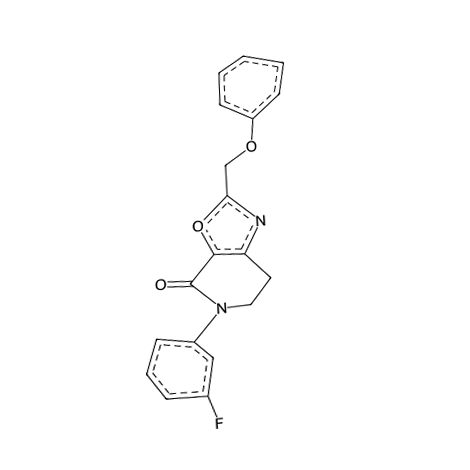 O=C1c2oc(COc3ccccc3)nc2CCN1c1cccc(F)c1